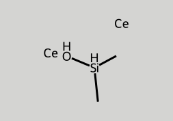 C[SiH](C)O.[Ce].[Ce]